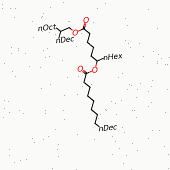 CCCCCCCCCCCCCCCCCC(=O)OC(CCCCCC)CCCCC(=O)OCC(CCCCCCCC)CCCCCCCCCC